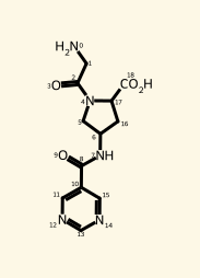 NCC(=O)N1CC(NC(=O)c2cncnc2)CC1C(=O)O